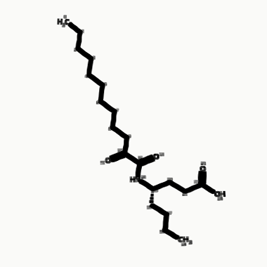 CCCCCCCCCCC(=O)C(=O)N[C@@H](CCCC)CCC(=O)O